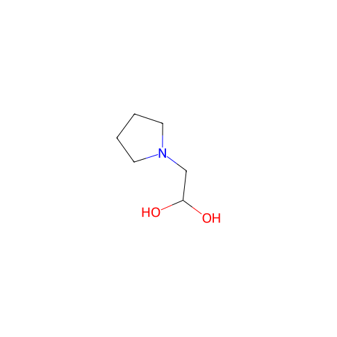 OC(O)CN1CCCC1